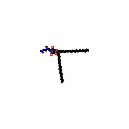 CCCCCCCCCCCCCCCCCCC1(CCCCCCCCCCCCCCCCCC)OC2C(=O)N(CCN(C)CCN(C)C)C(=O)C2O1